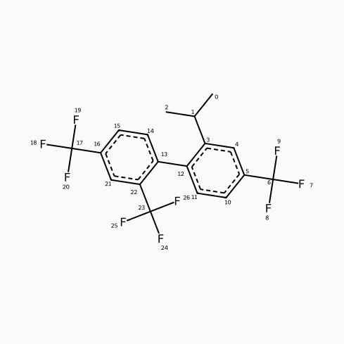 CC(C)c1cc(C(F)(F)F)ccc1-c1ccc(C(F)(F)F)cc1C(F)(F)F